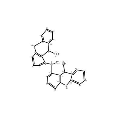 [O-][S+](c1cccc2c1C(O)c1ccccc1S2)c1cccc2c1C(O)c1ccccc1S2